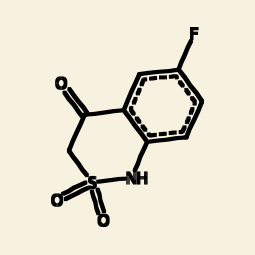 O=C1CS(=O)(=O)Nc2ccc(F)cc21